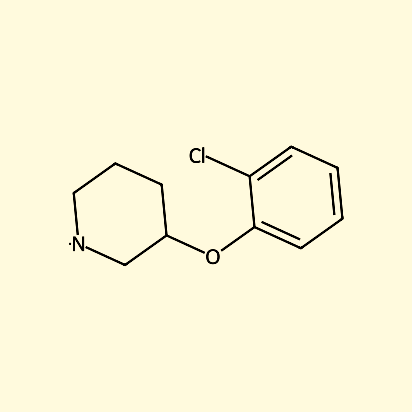 Clc1ccccc1OC1CCC[N]C1